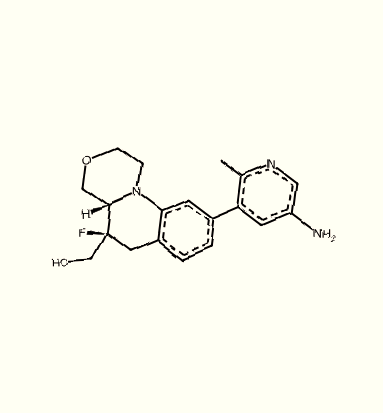 Cc1ncc(N)cc1-c1ccc2c(c1)N1CCOC[C@H]1[C@@](F)(CO)C2